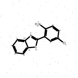 O=[N+]([O-])c1ccc(Cl)cc1-c1nc2ccccc2s1